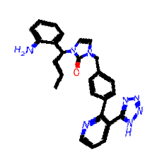 CCCC(c1ccccc1N)n1ccn(Cc2ccc(-c3ncccc3-c3nnn[nH]3)cc2)c1=O